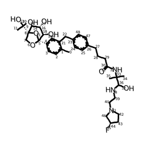 Cc1ccc([C@]23OC[C@](C(C)(C)O)(O2)[C@@H](O)[C@H](O)[C@H]3O)cc1Cc1ccc(CCCC(=O)NC(C)(C)C(O)NCCN2CC[C@@H](F)C2)cc1